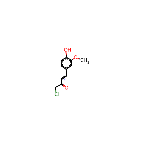 COc1cc(/C=C/C(=O)CCl)ccc1O